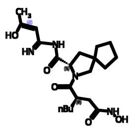 CCCC[C@H](CC(=O)NO)C(=O)N1CC2(CCCC2)C[C@H]1C(=O)NC(=N)/C=C(/C)O